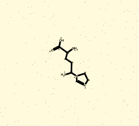 NC(CCC(N)N1C=NCC1)C(=O)O